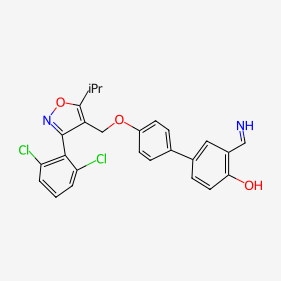 CC(C)c1onc(-c2c(Cl)cccc2Cl)c1COc1ccc(-c2ccc(O)c(C=N)c2)cc1